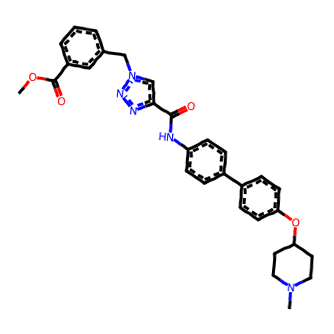 COC(=O)c1cccc(Cn2cc(C(=O)Nc3ccc(-c4ccc(OC5CCN(C)CC5)cc4)cc3)nn2)c1